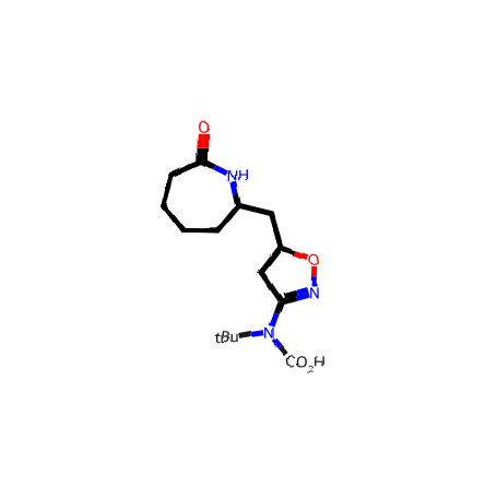 CC(C)(C)N(C(=O)O)C1=NOC(CC2CCCCC(=O)N2)C1